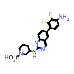 Nc1ccc(-c2ccc3nc(NC4CCCN(C(=O)O)C4)ncc3c2)c(F)c1F